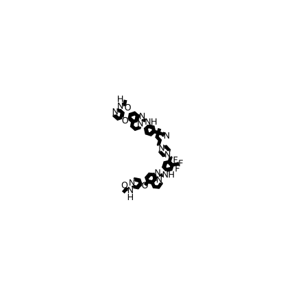 CC(=O)Nc1cc(Oc2ccc3nc(Nc4cccc(C(C)(C#N)CCCN5CCN(Cc6ccc(Nc7nc8ccc(Oc9ccnc(NC(C)=O)c9)c9c8n7CCC9)cc6C(F)(F)F)CC5)c4)n4c3c2CCC4)ccn1